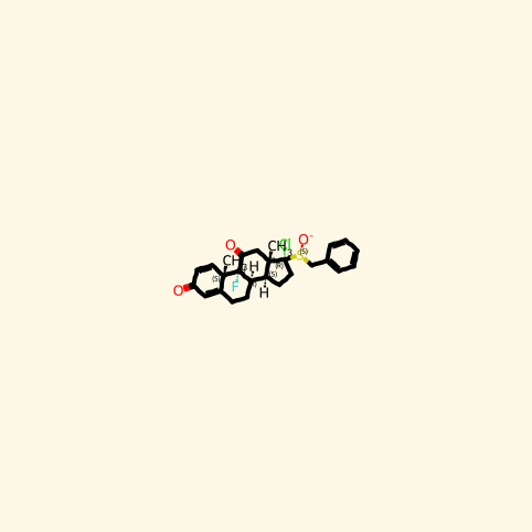 C[C@]12C=CC(=O)C=C1CC[C@@H]1[C@@H]3CC[C@](Cl)([S@+]([O-])Cc4ccccc4)[C@@]3(C)CC(=O)[C@@]12F